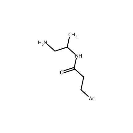 CC(=O)CCC(=O)NC(C)CN